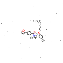 [2H]C([2H])(c1cc(C#N)ccc1OCCCCCC(=O)O)N(C(=O)c1ccc(-c2ccco2)cc1)C(C)C